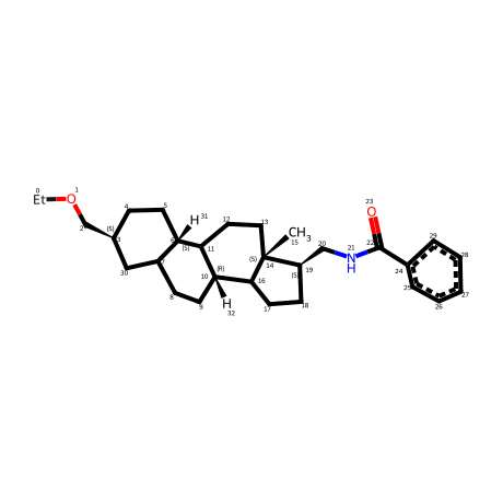 CCOC[C@H]1CC[C@H]2C(CC[C@@H]3C2CC[C@@]2(C)C3CC[C@@H]2CNC(=O)c2ccccc2)C1